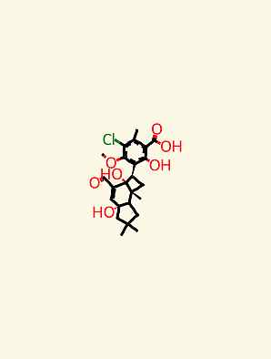 COc1c(Cl)c(C)c(C(=O)O)c(O)c1[C@H]1C[C@]2(C)C3CC(C)(C)C[C@@]3(O)C=C(C=O)[C@]12O